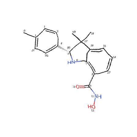 Cc1ccc([C@H]2Nc3c(C(=O)NO)cccc3C2(C)C)cc1